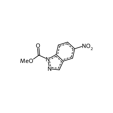 COC(=O)n1ncc2cc([N+](=O)[O-])ccc21